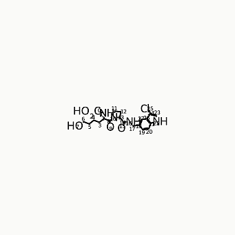 O=C(O)NC(CCCCO)C(=O)N1CCC1C(=O)NCc1ccc2[nH]cc(Cl)c2c1